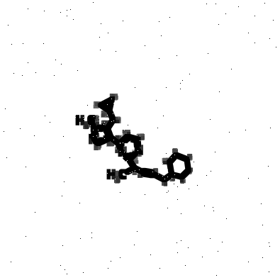 CC(C#CCC1CCCCC1)c1nccc(-c2cnn(C)c2CC2CC2)n1